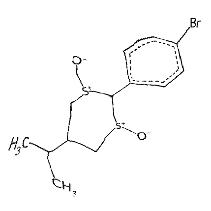 CC(C)C1C[S+]([O-])C(c2ccc(Br)cc2)[S+]([O-])C1